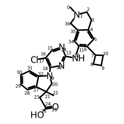 CN1CCc2cc(C3CCC3)c(Nc3ncc(Cl)c(N4CC(C)(CC(=O)O)c5ccccc54)n3)cc2C1